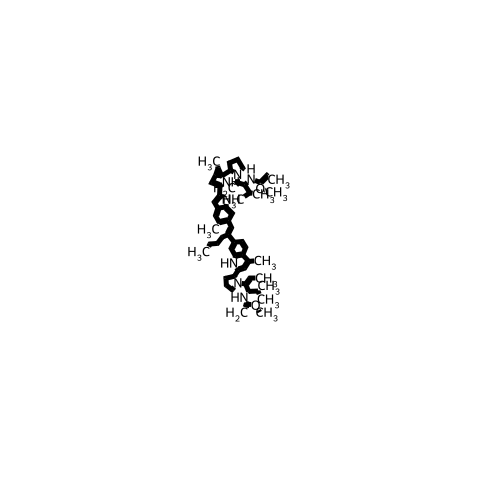 C=C(NC(C(=CC)N1CCCC1C1=C=C(C)c2ccc(/C(=C/c3cc4[nH]c(C5=CC6C(C)C6(C6CCCN6C(=C)C(NC(=CC)OC)C(C)C)N5)cc4cc3C)CCCC)cc2N1)C(C)C)OC